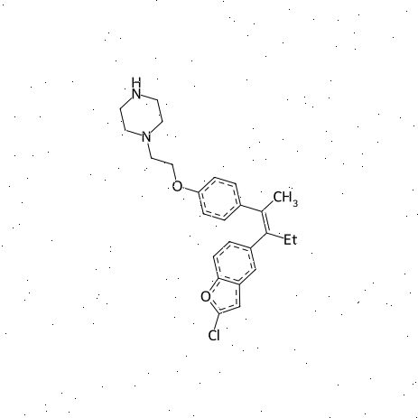 CC/C(=C(\C)c1ccc(OCCN2CCNCC2)cc1)c1ccc2oc(Cl)cc2c1